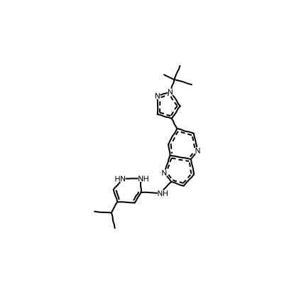 CC(C)C1=CNNC(Nc2ccc3ncc(-c4cnn(C(C)(C)C)c4)cc3n2)=C1